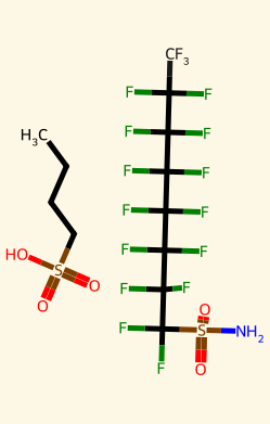 CCCCS(=O)(=O)O.NS(=O)(=O)C(F)(F)C(F)(F)C(F)(F)C(F)(F)C(F)(F)C(F)(F)C(F)(F)C(F)(F)F